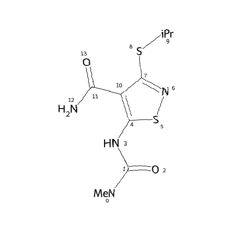 CNC(=O)Nc1snc(SC(C)C)c1C(N)=O